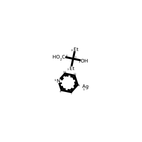 CCC(O)(CC)C(=O)O.[Ag].c1ccncc1